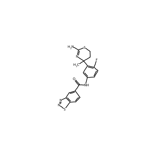 CC1(c2cc(NC(=O)c3ccc4snnc4c3)ccc2F)CCSC(N)=N1